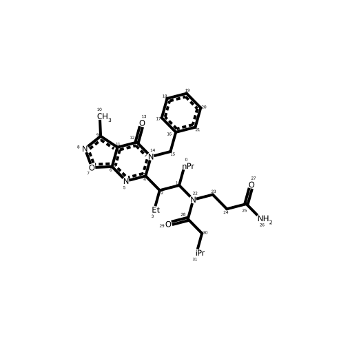 CCCC(C(CC)c1nc2onc(C)c2c(=O)n1Cc1ccccc1)N(CCC(N)=O)C(=O)CC(C)C